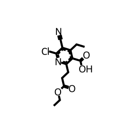 CCOC(=O)CCc1nc(Cl)c(C#N)c(CC)c1C(=O)O